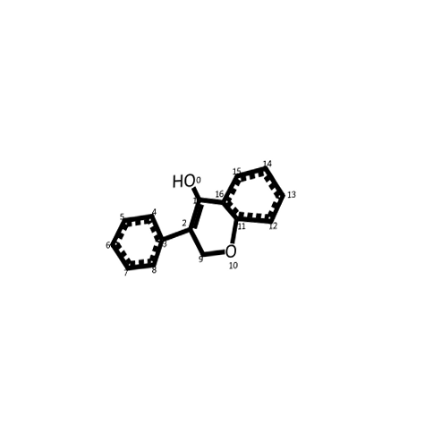 OC1=C(c2ccccc2)COc2ccccc21